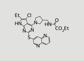 CCOC(=O)C(=O)NCC1CCN(c2nc(Sc3cnc4cccnc4c3)nc3[nH]c(CC)c(Cl)c23)C1